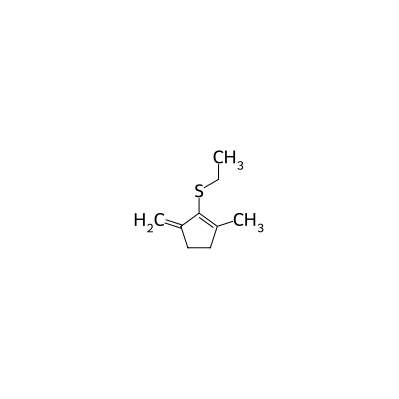 C=C1CCC(C)=C1SCC